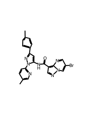 Cc1ccc(-c2cc(NC(=O)c3cnn4cc(Br)cnc34)n(-c3ccc(C)cn3)n2)cc1